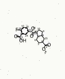 COC(=O)C1CCC2C(CCN2S(=O)(=O)c2ccc(F)c(C(=O)O)c2)C1